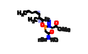 C=CC/C=C\C(C)=C(/CC)OP(CC(=O)N(CCCC)N=O)NCC(=O)OC